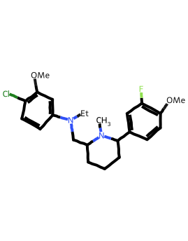 CCN(CC1CCCC(c2ccc(OC)c(F)c2)N1C)c1ccc(Cl)c(OC)c1